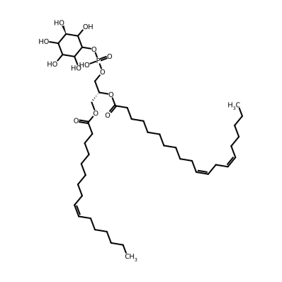 CCCCC/C=C\C/C=C\CCCCCCCCCC(=O)O[C@H](COC(=O)CCCCCCC/C=C\CCCCCC)COP(=O)(O)OC1C(O)C(O)C(O)[C@@H](O)C1O